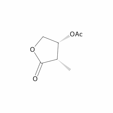 CC(=O)O[C@H]1COC(=O)[C@H]1C